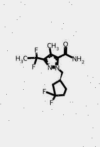 Cc1c(C(C)(F)F)nn(C[C@H]2CCC(F)(F)C2)c1C(N)=O